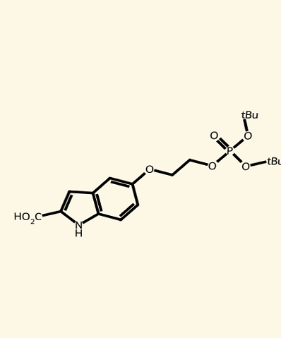 CC(C)(C)OP(=O)(OCCOc1ccc2[nH]c(C(=O)O)cc2c1)OC(C)(C)C